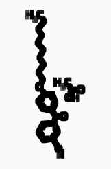 CC(=O)O.CCCCCCCCCCOc1ccc(C(=O)c2cccc(C#N)c2)cc1